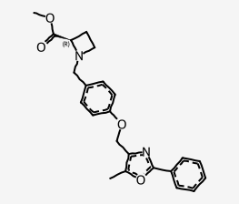 COC(=O)[C@H]1CCN1Cc1ccc(OCc2nc(-c3ccccc3)oc2C)cc1